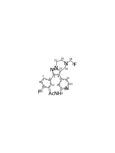 CC(=O)Nc1cc(-c2c(-c3ccc(F)cc3)nn3c2CN(CF)CC3)ccn1